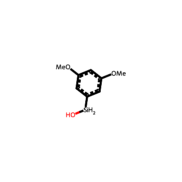 COc1cc(OC)cc([SiH2]O)c1